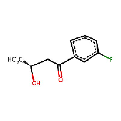 O=C(C[C@@H](O)C(=O)O)c1cccc(F)c1